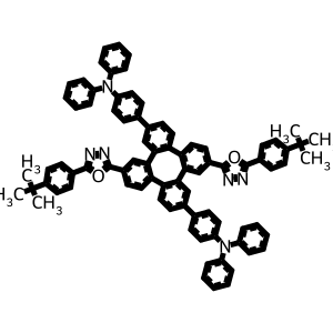 CC(C)(C)c1ccc(-c2nnc(-c3ccc4c(c3)-c3cc(-c5ccc(N(c6ccccc6)c6ccccc6)cc5)ccc3-c3ccc(-c5nnc(-c6ccc(C(C)(C)C)cc6)o5)cc3-c3cc(-c5ccc(N(c6ccccc6)c6ccccc6)cc5)ccc3-4)o2)cc1